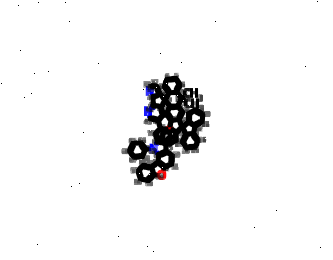 CC1(C)c2ccccc2C2(c3cc4c(cc31)C1(c3ccccc3-c3ccccc31)c1ccccc1-4)c1cccnc1-c1ncc(-c3ccc4c5ccc6oc7ccccc7c6c5n(-c5ccccc5)c4c3)cc12